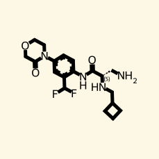 NC[C@H](NCC1CCC1)C(=O)Nc1ccc(N2CCOCC2=O)cc1C(F)F